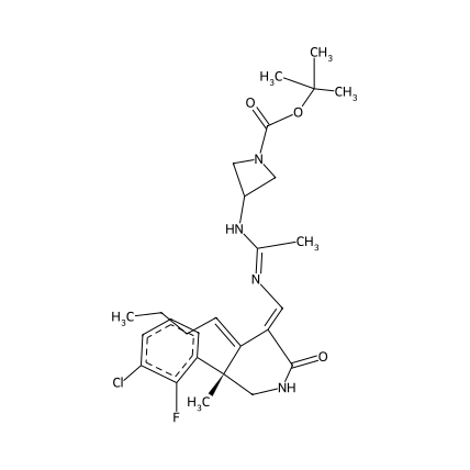 CCC/C=C1/C(=C\N=C(/C)NC2CN(C(=O)OC(C)(C)C)C2)C(=O)NC[C@]1(C)c1cccc(Cl)c1F